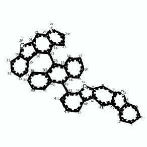 c1ccc2c(c1)oc1cc3oc4c(-c5c6ccccc6c(-c6c7ccsc7cc7oc8ccccc8c67)c6ccccc56)cccc4c3cc12